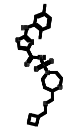 Cc1ccc(C)c(Nc2nc(C(=O)NS(=O)(=O)N3CCOC(COCC4CCC4)CC3)co2)c1